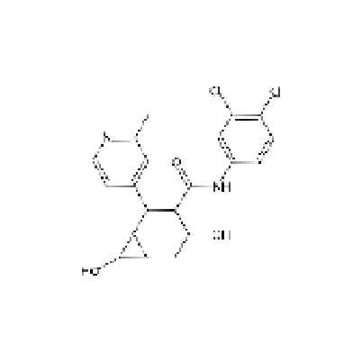 Cc1cc(C2C(C(=O)Nc3ccc(Cl)c(Cl)c3)C(O)CC3C(O)C32)ccn1